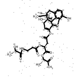 CC(=O)[C@H](C)OC(=O)[C@H](CC(=O)OC1=CC[C@@]2(O)[C@H]3Cc4ccc(O)c5c4[C@@]2(CCN3C)[C@H]1O5)OC(=O)CCNC(=O)[C@H](C)O